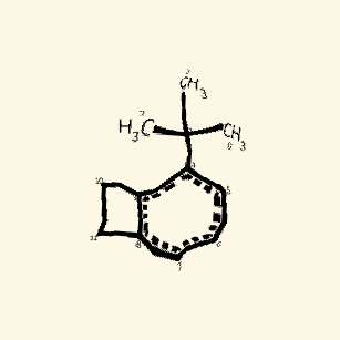 CC(C)(C)c1cccc2c1CC2